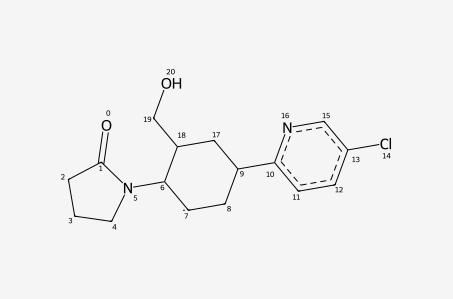 O=C1CCCN1C1[CH]CC(c2ccc(Cl)cn2)CC1CO